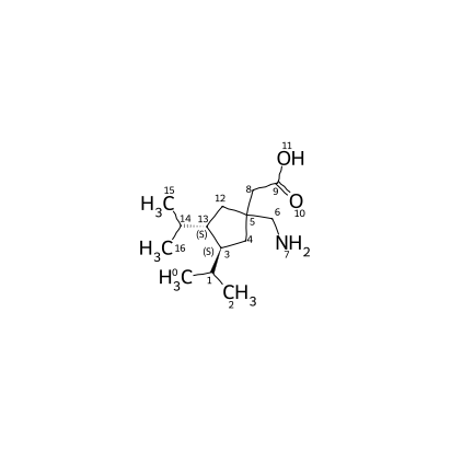 CC(C)[C@@H]1CC(CN)(CC(=O)O)C[C@H]1C(C)C